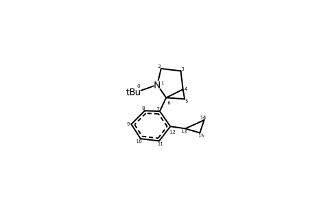 CC(C)(C)N1CCC2CC21c1ccccc1C1CC1